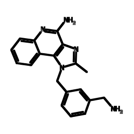 Cc1nc2c(N)nc3ccccc3c2n1Cc1cccc(CN)c1